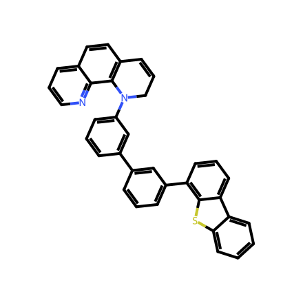 C1=Cc2ccc3cccnc3c2N(c2cccc(-c3cccc(-c4cccc5c4sc4ccccc45)c3)c2)C1